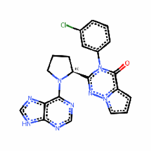 O=c1c2cccn2nc([C@@H]2CCCN2c2ncnc3[nH]cnc23)n1-c1cccc(Cl)c1